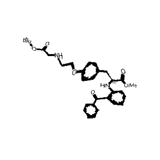 COC(=O)[C@H](Cc1ccc(OCCNCC(=O)OC(C)(C)C)cc1)Nc1ccccc1C(=O)c1ccccc1